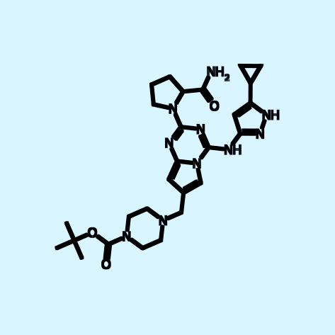 CC(C)(C)OC(=O)N1CCN(Cc2cc3nc(N4CCCC4C(N)=O)nc(Nc4cc(C5CC5)[nH]n4)n3c2)CC1